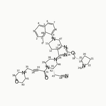 Cc1cccc2cccc(N3CCc4c(nc(OC[C@@H]5CCCN5C)nc4N4CCN(C(=O)C#CCN5CCOCC5)[C@@H](CC#N)C4)C3)c12